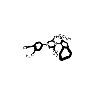 CC1CN(c2ccc(Cl)c(C(F)(F)F)c2)CC(C)N1[C@@H]1c2ccccc2C[C@@H]1C(=O)O